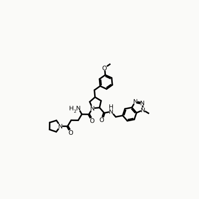 COc1cccc(CC2CC(C(=O)NCc3ccc4c(c3)nnn4C)N(C(=O)C(N)CCC(=O)N3CCCC3)C2)c1